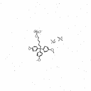 COc1ccc(C(CCCCCOB([O-])[O-])(c2ccc(OC)cc2)c2ccc(OC)cc2)cc1.C[N+](C)(C)C.C[N+](C)(C)C